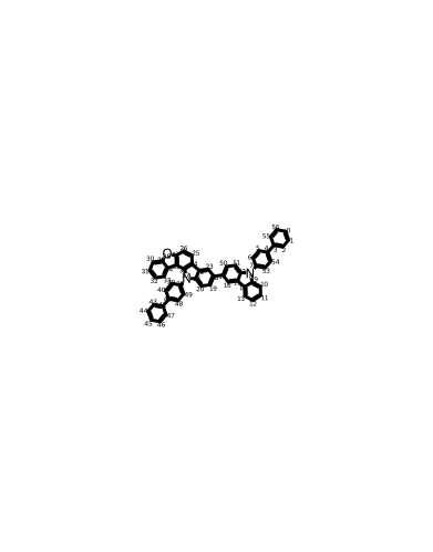 c1ccc(-c2ccc(-n3c4ccccc4c4cc(-c5ccc6c(c5)c5ccc7oc8ccccc8c7c5n6-c5ccc(-c6ccccc6)cc5)ccc43)cc2)cc1